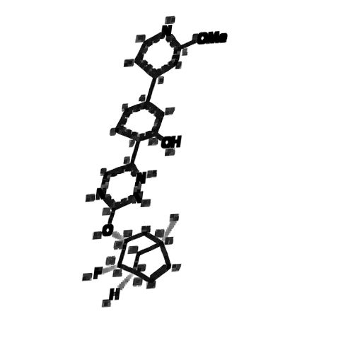 COc1cc(-c2ccc(-c3cnc(O[C@@H]4C[C@@]5(C)C=C[C@H](C5)[C@@H]4F)nn3)c(O)c2)ccn1